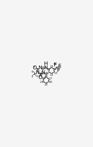 CC(C)(C)n1c(=O)nc(Nc2cccc(C(F)(F)F)c2)n(Cc2ccccc2)c1=O